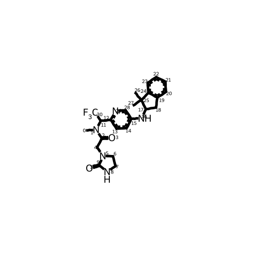 CN(C(=O)CN1CCNC1=O)C(c1ccc(NC2Cc3ccccc3C2(C)C)cn1)C(F)(F)F